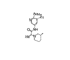 CCc1cc(NC(=O)C(=N)N2CCC[C@H](C)C2)cnc1NC